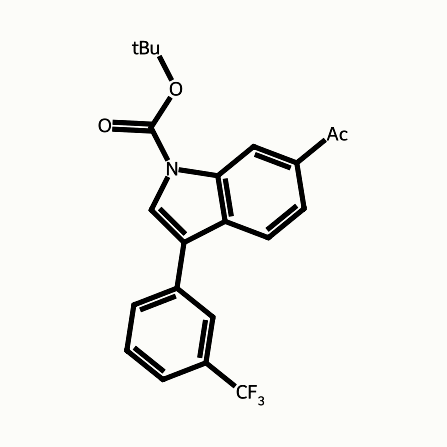 CC(=O)c1ccc2c(-c3cccc(C(F)(F)F)c3)cn(C(=O)OC(C)(C)C)c2c1